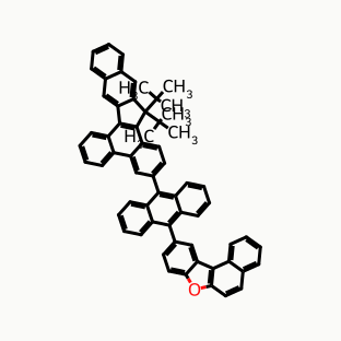 CC(C)(C)C1(C(C)(C)C)c2cc3ccccc3cc2-c2c1c1ccc(-c3c4ccccc4c(-c4ccc5oc6ccc7ccccc7c6c5c4)c4ccccc34)cc1c1ccccc21